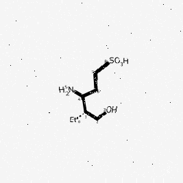 CC[C@@H](CO)C(N)CCS(=O)(=O)O